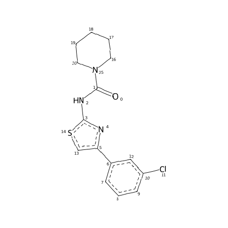 O=C(Nc1nc(-c2cccc(Cl)c2)cs1)N1CCCCC1